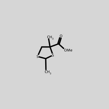 COC(=O)C1(C)CSC(C)S1